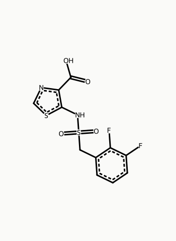 O=C(O)c1ncsc1NS(=O)(=O)Cc1cccc(F)c1F